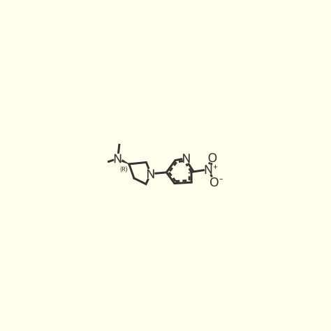 CN(C)[C@@H]1CCN(c2ccc([N+](=O)[O-])nc2)C1